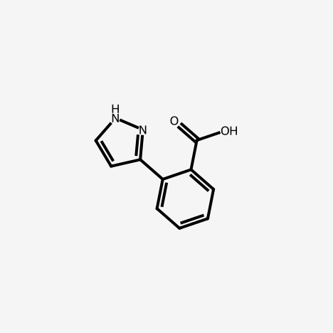 O=C(O)c1ccccc1-c1cc[nH]n1